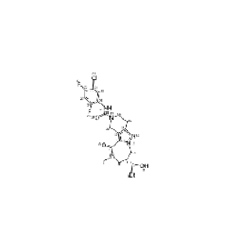 CCC(O)[C@@H]1CN(C)C(=O)c2c3c(nn2C1)CCN(C(=O)Nc1cc(Cl)c(F)cc1F)C3